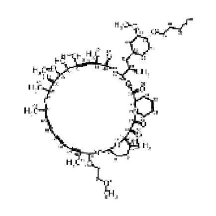 COCCOC1CC2CCC(C)C(O)(O2)C(=O)C(=O)N2CCCCC2C(=O)OC([C@H](C)C[C@@H]2CC[C@@H](OCCCI)[C@H](OC)C2)CC(=O)C(C)C=C(C)C(O)C(OC)C(=O)C(C)CC(C)C=CC=CC=C1C